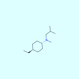 CC[C@H]1CC[C@H](N(C)CC(C)C)CC1